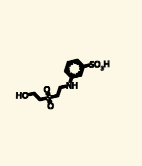 O=S(=O)(CCO)CCNc1cccc(S(=O)(=O)O)c1